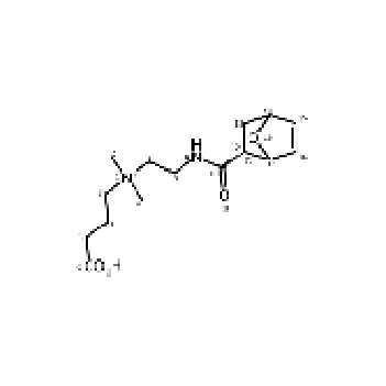 C[N+](C)(CCCC(=O)O)CCNC(=O)[C@H]1CC2C=CC1O2